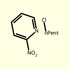 CCCCCCl.O=[N+]([O-])c1ccccn1